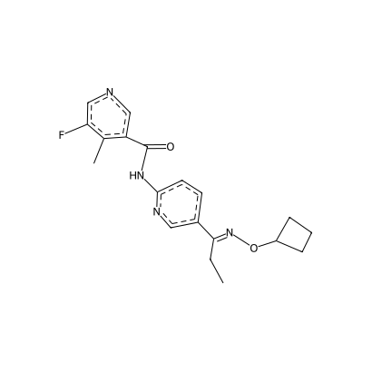 CCC(=NOC1CCC1)c1ccc(NC(=O)c2cncc(F)c2C)nc1